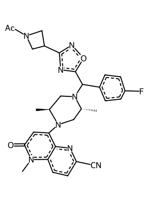 CC(=O)N1CC(c2noc(C(c3ccc(F)cc3)N3C[C@H](C)N(c4cc(=O)n(C)c5ccc(C#N)nc45)C[C@H]3C)n2)C1